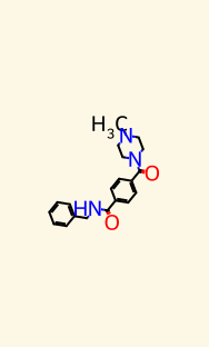 CN1CCN(C(=O)c2ccc(C(=O)NCc3ccccc3)cc2)CC1